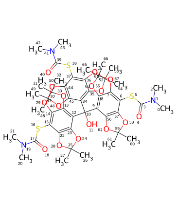 CN(C)C(=O)Sc1c2c(c(C(O)(c3c4c(c(SC(=O)N(C)C)c5c3OC(C)(C)O5)OC(C)(C)O4)c3c4c(c(SC(=O)N(C)C)c5c3OC(C)(C)O5)OC(C)(C)O4)c3c1OC(C)(C)O3)OC(C)(C)O2